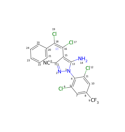 N#Cc1nn(-c2c(Cl)cc(C(F)(F)F)cc2Cl)c(N)c1/C(Cl)=C(/Cl)c1ccccc1